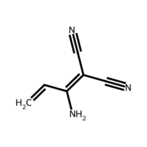 C=CC(N)=C(C#N)C#N